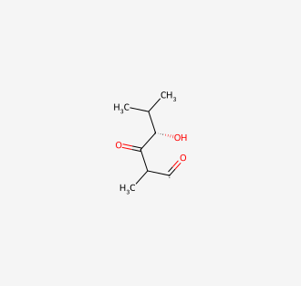 CC([C]=O)C(=O)[C@@H](O)C(C)C